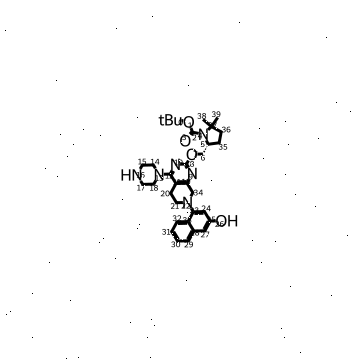 CC(C)(C)OC(=O)N1[C@@H](COc2nc3c(c(N4CCNCC4)n2)CCN(c2cc(O)cc4ccccc24)C3)CCC1(C)C